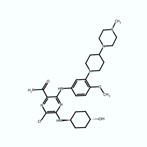 COc1ccc(Nc2nc(N[C@H]3CC[C@H](O)CC3)c(Cl)nc2C(N)=O)cc1N1CCC(N2CCN(C)CC2)CC1